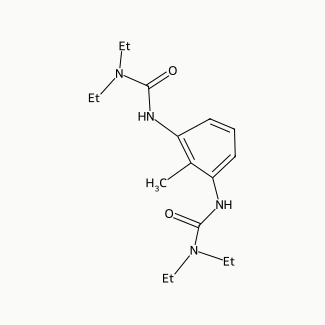 CCN(CC)C(=O)Nc1cccc(NC(=O)N(CC)CC)c1C